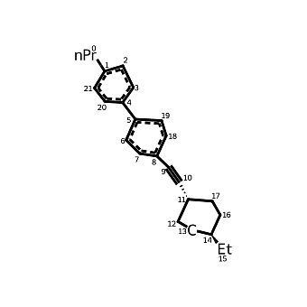 CCCc1ccc(-c2ccc(C#C[C@H]3CC[C@H](CC)CC3)cc2)cc1